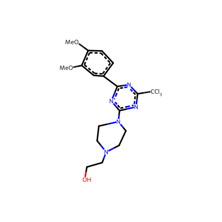 COc1ccc(-c2nc(N3CCN(CCO)CC3)nc(C(Cl)(Cl)Cl)n2)cc1OC